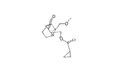 COCC1(COC(=O)C2CC2)C(=O)C2CCN1CC2